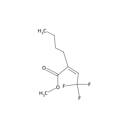 CCCCC(=CC(F)(F)F)C(=O)OC